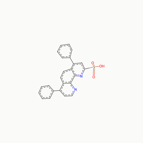 O=S(=O)(O)c1cc(-c2ccccc2)c2ccc3c(-c4ccccc4)ccnc3c2n1